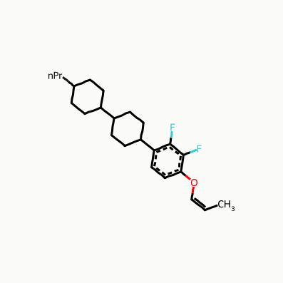 C/C=C\Oc1ccc(C2CCC(C3CCC(CCC)CC3)CC2)c(F)c1F